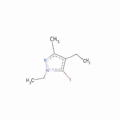 CCc1c(C)nn(CC)c1I